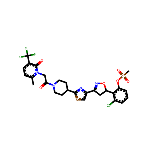 Cc1ccc(C(F)(F)F)c(=O)n1CC(=O)N1CCC(c2nc(C3=NOC(c4c(Cl)cccc4OS(C)(=O)=O)C3)cs2)CC1